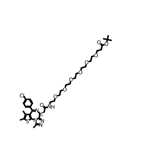 Cc1sc2c(c1C)C(c1ccc(Cl)cc1)=N[C@@H](CC(=O)NCCOCCOCCOCCOCCOCCOCCC(=O)OC(C)(C)C)c1nnc(C)n1-2